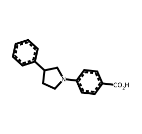 O=C(O)c1ccc(N2CCC(c3ccccc3)C2)cc1